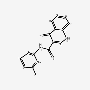 Cc1cccc(NC(=O)c2c[nH]c3ccccc3c2=O)n1